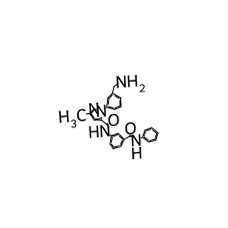 Cc1cc(C(=O)Nc2cccc(C(=O)Nc3ccccc3)c2)n(-c2cccc(CN)c2)n1